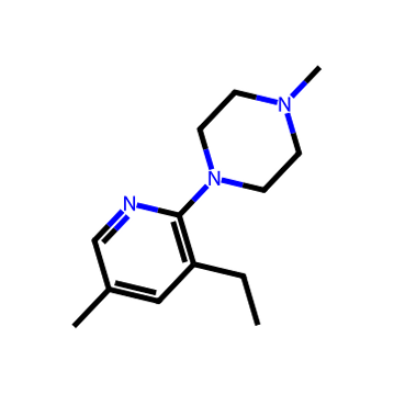 CCc1cc(C)cnc1N1CCN(C)CC1